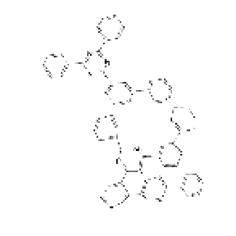 c1ccc(-c2ccc(-c3ccccc3C3=NC(c4ccccc4)NC(c4cccc(-c5cccc(-c6cccc(-c7cccc(-c8nc(-c9ccccc9)nc(-c9ccccc9)n8)c7)c6)c5)c4)=N3)cc2)cc1